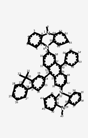 CN1c2ccccc2N(c2ccc3c(-c4ccc5c(c4)C(C)(C)c4ccccc4-5)c4cc(N5c6ccccc6N(C)c6ccccc65)ccc4c(-c4ccccc4)c3c2)c2ccccc21